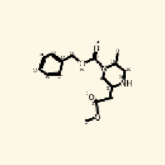 COC(=O)CC1CN(C(=O)OCc2ccccc2)C(C)CN1